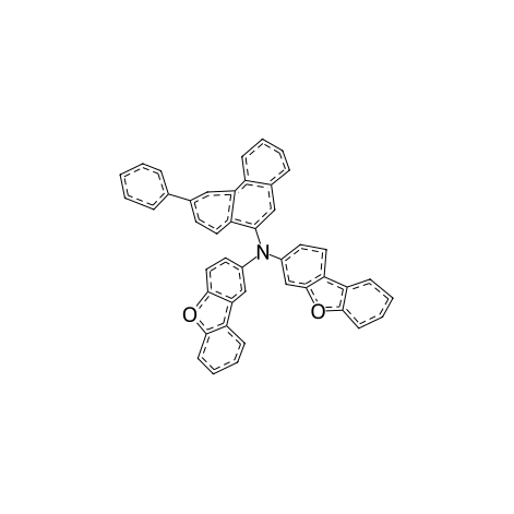 c1ccc(-c2ccc3c(N(c4ccc5c(c4)oc4ccccc45)c4ccc5oc6ccccc6c5c4)cc4ccccc4c3c2)cc1